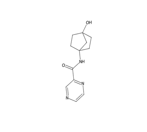 O=C(NC12CCC(O)(CC1)C2)c1cnccn1